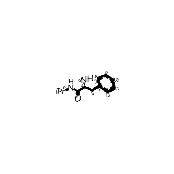 CC(C)NC(=O)[C@H](N)Cc1ccccc1